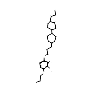 CCCOc1ccc(OCCCC2CCC(C3CCC(CCC)CC3)CC2)c(Cl)c1F